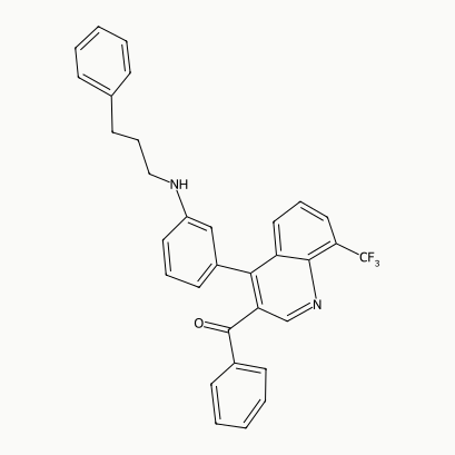 O=C(c1ccccc1)c1cnc2c(C(F)(F)F)cccc2c1-c1cccc(NCCCc2ccccc2)c1